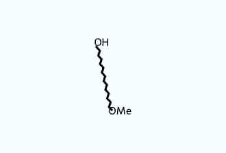 [CH2]OCCCCCCCCCCCCCCCO